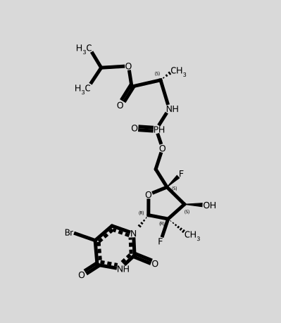 CC(C)OC(=O)[C@H](C)N[PH](=O)OC[C@@]1(F)O[C@@H](n2cc(Br)c(=O)[nH]c2=O)[C@](C)(F)[C@@H]1O